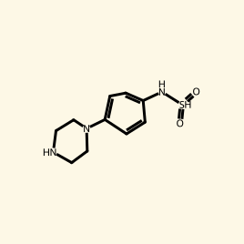 O=[SH](=O)Nc1ccc(N2CCNCC2)cc1